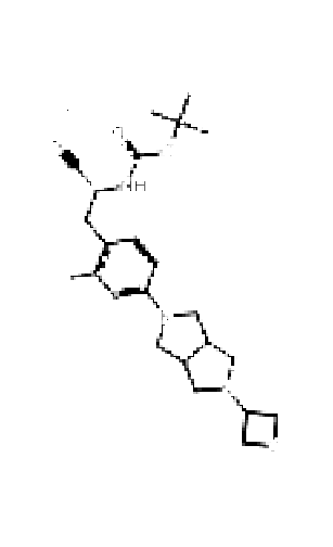 CC(C)(C)OC(=O)N[C@H](C#N)Cc1ccc(N2CC3CN(C4COC4)CC3C2)cc1F